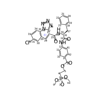 COP(=O)(CCOC(=O)c1ccc(NC(=O)[C@H](Cc2ccccc2)NC(=O)/C=C/c2cc(Cl)ccc2-n2cnnn2)cc1)OC